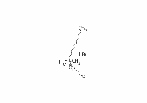 Br.CCCCCCCCCCCC(C)(C)NCCCCCl